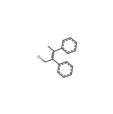 CC(=C(C[O])c1ccccc1)c1ccccc1